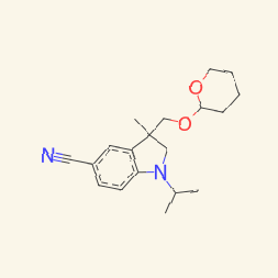 CC(C)N1CC(C)(COC2CCCCO2)c2cc(C#N)ccc21